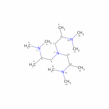 CC(CN(CC(C)N(C)C)CC(C)N(C)C)N(C)C